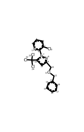 Clc1cccnc1-n1nc(COCc2ccccc2)cc1C(Cl)(Cl)Cl